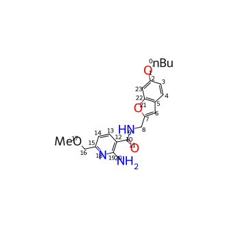 CCCCOc1ccc2cc(CNC(=O)c3ccc(COC)nc3N)oc2c1